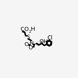 O=C(O)CCCSCCN1C(=O)OC[C@@H]1/C=C/[C@@H](O)Cc1cccc(Cl)c1